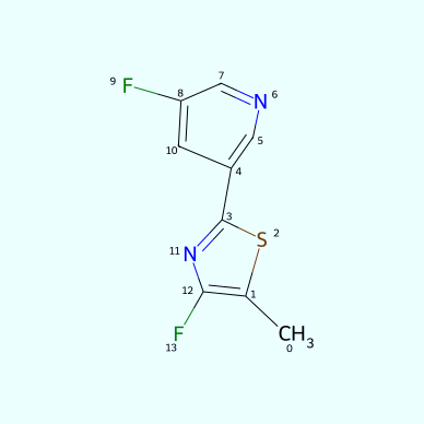 Cc1sc(-c2cncc(F)c2)nc1F